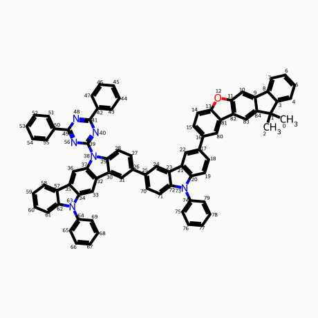 CC1(C)c2ccccc2-c2cc3oc4ccc(-c5ccc6c(c5)c5cc(-c7ccc8c(c7)c7cc9c(cc7n8-c7nc(-c8ccccc8)nc(-c8ccccc8)n7)c7ccccc7n9-c7ccccc7)ccc5n6-c5ccccc5)cc4c3cc21